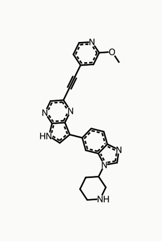 COc1cc(C#Cc2cnc3[nH]cc(-c4ccc5ncn(C6CCCNC6)c5c4)c3n2)ccn1